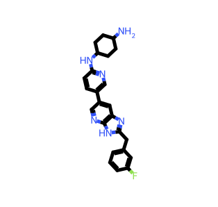 NC1CCC(Nc2ccc(-c3cnc4[nH]c(Cc5cccc(F)c5)nc4c3)cn2)CC1